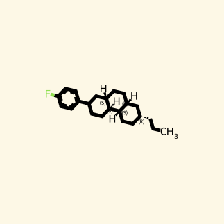 CCC[C@@H]1CC[C@H]2[C@H](CC[C@H]3CC(c4ccc(F)cc4)CC[C@@H]32)C1